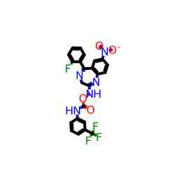 O=C(Nc1cccc(C(F)(F)F)c1)ONC1=Nc2ccc([N+](=O)[O-])cc2C(c2ccccc2F)=NC1